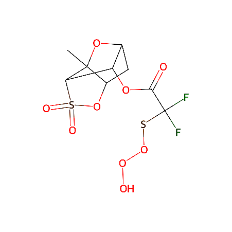 CC12OC3CC1OS(=O)(=O)C2C3OC(=O)C(F)(F)SOOO